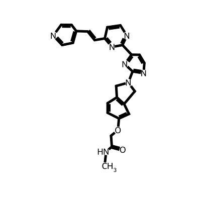 CNC(=O)COc1ccc2c(c1)CN(c1nccc(-c3nccc(C=Cc4ccncc4)n3)n1)C2